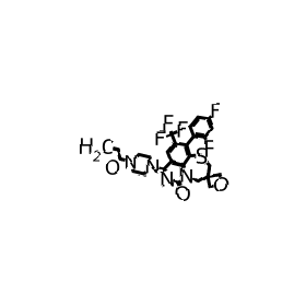 C=CC(=O)N1CCN(c2nc(=O)n3c4c(c(-c5ccc(F)cc5F)c(C(F)(F)F)cc24)SCC2(COC2)C3)CC1